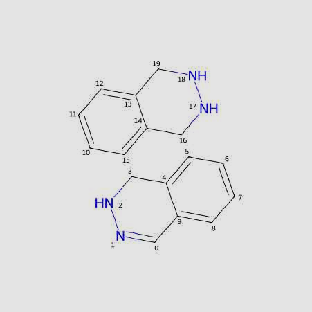 C1=NNCc2ccccc21.c1ccc2c(c1)CNNC2